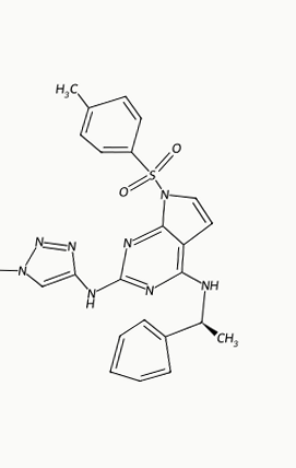 Cc1ccc(S(=O)(=O)n2ccc3c(N[C@@H](C)c4ccccc4)nc(Nc4cn(C(C)C)nn4)nc32)cc1